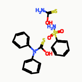 NC(O)=S.NS(=O)(=O)c1ccccc1.OC(=S)N(c1ccccc1)c1ccccc1